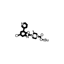 C[C@H]1CN(C(=O)OC(C)(C)C)CCN1c1nc2cc(Cl)cc(-c3cccnc3)c2o1